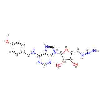 COc1ccc(CNc2ncnc3c2ncn3[C@@H]2O[C@H](CN=[N+]=[N-])C(O)C2O)cc1